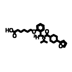 [2H]C(c1ccccc1OCCCCCC(=O)O)N(C(=O)C1CCC(c2ccco2)CC1)C(C)C